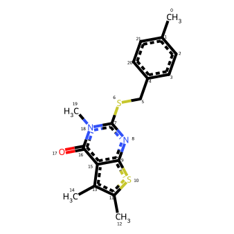 Cc1ccc(CSc2nc3sc(C)c(C)c3c(=O)n2C)cc1